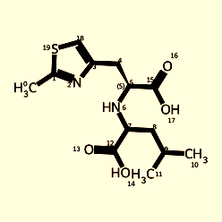 Cc1nc(C[C@H](NC(CC(C)C)C(=O)O)C(=O)O)cs1